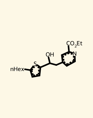 CCCCCCc1ccc(C(O)Cc2ccnc(C(=O)OCC)c2)s1